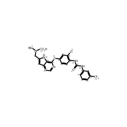 CC(C)(C)N(Cc1cc2ncnc(Oc3ccc(NC(=O)Nc4cccc(C(F)(F)F)c4)c(Cl)c3)c2[nH]1)C(=O)O